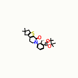 [CH2]c1c(B2OC(C)(C)C(C)(C)O2)cccc1N1CCc2c(sc3c2CC(C)(C)C3)C1=O